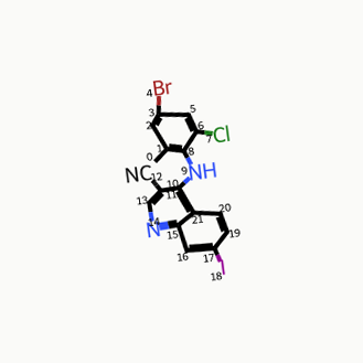 Cc1cc(Br)cc(Cl)c1Nc1c(C#N)cnc2cc(I)ccc12